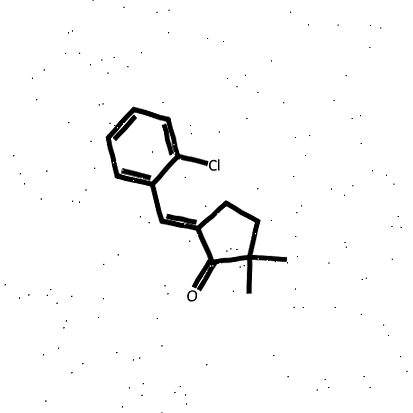 CC1(C)CCC(=Cc2ccccc2Cl)C1=O